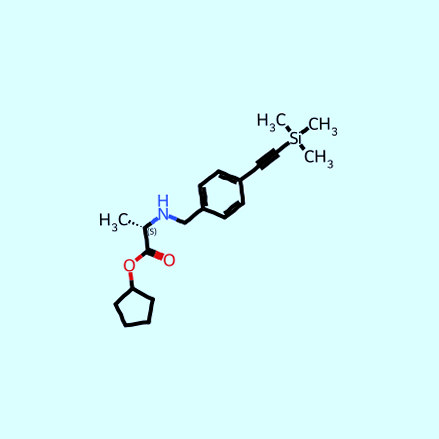 C[C@H](NCc1ccc(C#C[Si](C)(C)C)cc1)C(=O)OC1CCCC1